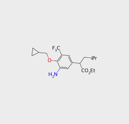 CCOC(=O)C(CC(C)C)c1cc(N)c(OCC2CC2)c(C(F)(F)F)c1